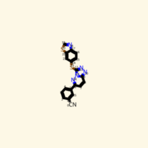 N#Cc1cccc(-c2ccc3nnc(Sc4ccc5ncsc5c4)n3n2)c1